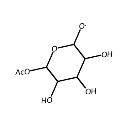 CC(=O)OC1OC([O])C(O)C(O)C1O